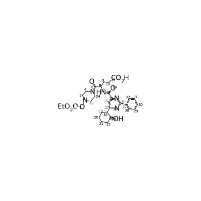 CCOC(=O)ON1CCN(C(=O)C(CCC(=O)O)NC(=O)c2cc(C3CCCC[C@@H]3O)nc(-c3ccccc3)n2)CC1